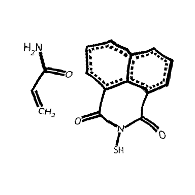 C=CC(N)=O.O=C1c2cccc3cccc(c23)C(=O)N1S